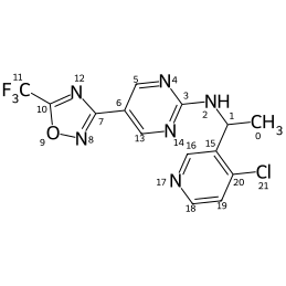 CC(Nc1ncc(-c2noc(C(F)(F)F)n2)cn1)c1cnccc1Cl